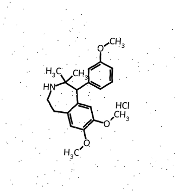 COc1cccc(C2c3cc(OC)c(OC)cc3CCNC2(C)C)c1.Cl